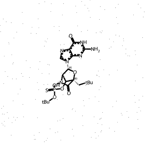 CN1C(=O)[C@]2(CC(C)(C)C)O[C@@H](n3cnc4c(=O)[nH]c(N)nc43)C1C2OP(O)(=S)OC(C)(C)C